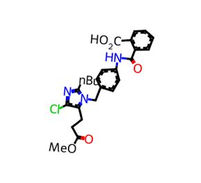 CCCCc1nc(Cl)c(CCC(=O)OC)n1Cc1ccc(NC(=O)c2ccccc2C(=O)O)cc1